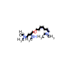 C=CN(C)CC=C(COCC/C=C\C/C=C\N(C)CC)NC